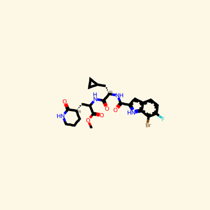 COC(=O)C(C[C@@H]1CCCNC1=O)NC(=O)[C@H](CC1CC1)NC(=O)c1cc2ccc(F)c(Br)c2[nH]1